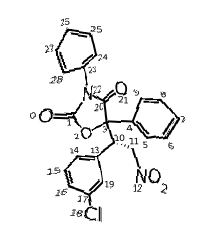 O=C1OC(c2ccccc2)([C@H](C[N+](=O)[O-])c2cccc(Cl)c2)C(=O)N1c1ccccc1